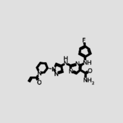 C=CC(=O)N1CCC[C@H](n2cc(Nc3ncc(C(N)=O)c(Nc4ccc(F)cc4)n3)cn2)C1